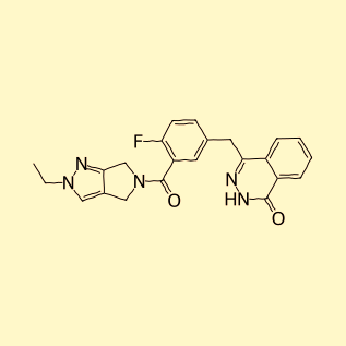 CCn1cc2c(n1)CN(C(=O)c1cc(Cc3n[nH]c(=O)c4ccccc34)ccc1F)C2